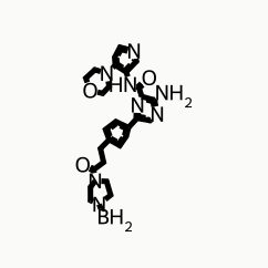 BN1CCN(C(=O)CCc2ccc(-c3cnc(N)c(C(=O)Nc4cnccc4N4CCOCC4)n3)cc2)CC1